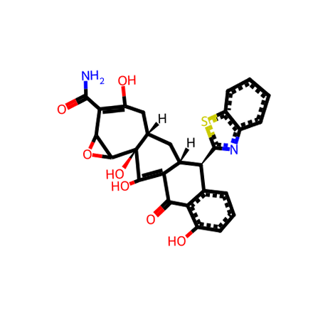 NC(=O)C1=C(O)C[C@@H]2C[C@H]3C(=C(O)[C@]2(O)C2OC12)C(=O)c1c(O)cccc1[C@@H]3c1nc2ccccc2s1